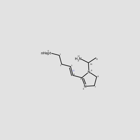 CCCCCCCCC/C=C/C1=NCCN1C(C)N